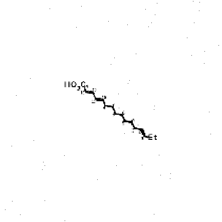 CCC=CCCCCCCCC=CC=CC(=O)O